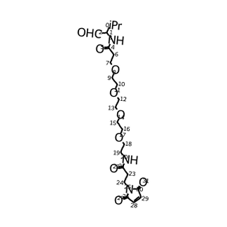 CC(C)C(C=O)NC(=O)CCOCCOCCOCCOCCNC(=O)CCN1C(=O)C=CC1=O